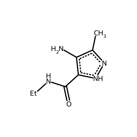 CCNC(=O)c1[nH]nc(C)c1N